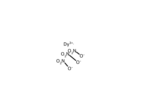 O=[N+]([O-])[O-].O=[N+]([O-])[O-].O=[N+]([O-])[O-].[Dy+3]